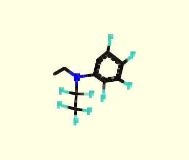 CCN(c1cc(F)c(F)c(F)c1F)C(F)(F)C(F)(F)F